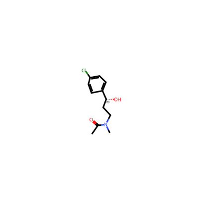 CC(=O)N(C)CC[C@@H](O)c1ccc(Cl)cc1